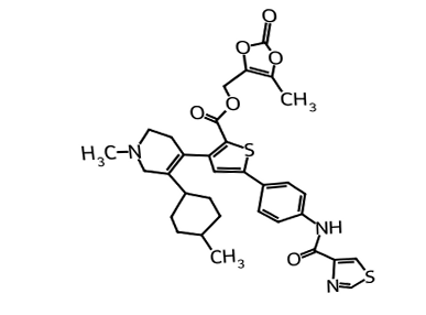 Cc1oc(=O)oc1COC(=O)c1sc(-c2ccc(NC(=O)c3cscn3)cc2)cc1C1=C(C2CCC(C)CC2)CN(C)CC1